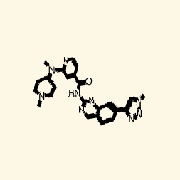 CN1CCC(N(C)c2cc(C(=O)Nc3ncc4ccc(-c5cn(C)nn5)cc4n3)ccn2)CC1